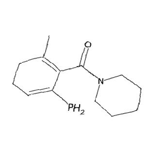 CC1=C(C(=O)N2CCCCC2)C(P)=CCC1